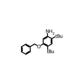 CC(C)(C)c1cc(C(C)(C)C)c(OCc2ccccc2)cc1N